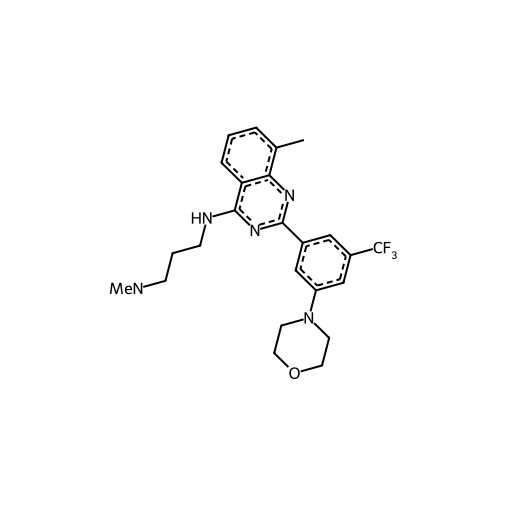 CNCCCNc1nc(-c2cc(N3CCOCC3)cc(C(F)(F)F)c2)nc2c(C)cccc12